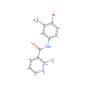 O=C(Nc1ccc(Br)c(C(F)(F)F)c1)c1cccnc1Cl